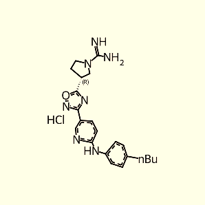 CCCCc1ccc(Nc2ccc(-c3noc([C@@H]4CCN(C(=N)N)C4)n3)cn2)cc1.Cl